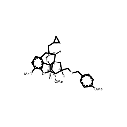 COc1ccc(COC[C@H]2C[C@@]34CC[C@]2(OC)[C@@H]2Oc5c(OC)ccc6c5[C@@]23CCN(CC2CC2)[C@@H]4C6)cc1